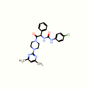 Cc1cc(C)nc(N2CCN(C(=O)C(NC(=O)Nc3ccc(Cl)cc3)c3ccccc3)CC2)n1